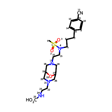 CS(=O)(=O)N(CCCc1ccc(C#N)cc1)CCN1CC2CN(CCNC(=O)O)CC(C1)O2